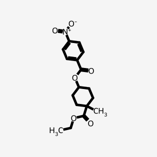 CCOC(=O)C1(C)CCC(OC(=O)c2ccc([N+](=O)[O-])cc2)CC1